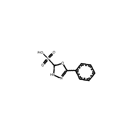 O=S(=O)(O)[C]1NN=C(c2ccccc2)O1